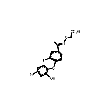 CCOC(=O)CO/N=C(\C)c1ccc(Oc2ccc(CC)cc2O)c(F)c1